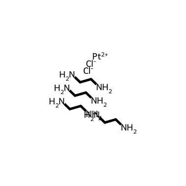 NCCN.NCCN.NCCN.NCCN.[Cl-].[Cl-].[Pt+2]